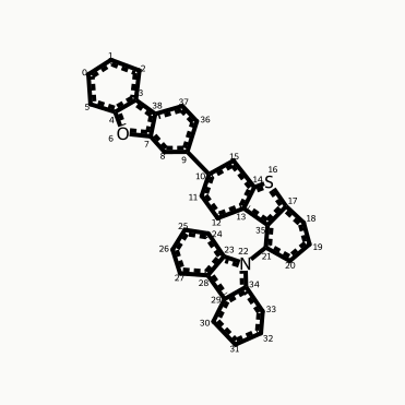 c1ccc2c(c1)oc1cc(-c3ccc4c(c3)sc3cccc(-n5c6ccccc6c6ccccc65)c34)ccc12